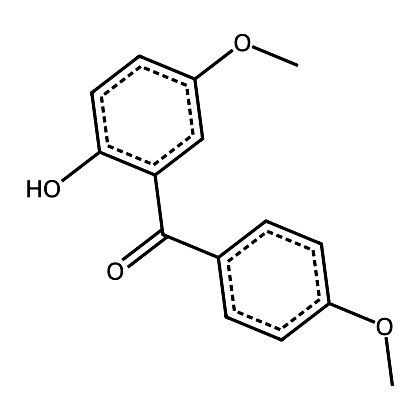 COc1ccc(C(=O)c2cc(OC)ccc2O)cc1